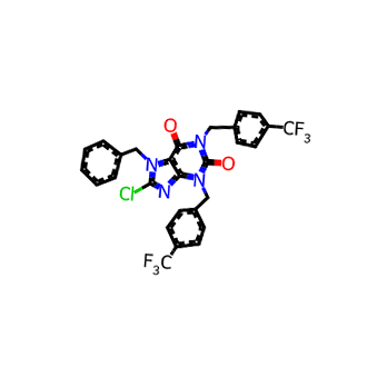 O=c1c2c(nc(Cl)n2Cc2ccccc2)n(Cc2ccc(C(F)(F)F)cc2)c(=O)n1Cc1ccc(C(F)(F)F)cc1